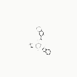 CN1CC[C@@H](NC(=O)c2cc3c(cc2Cl)OCCO3)C[C@@H]1c1nc2ccccc2[nH]1.O=C(O)C(F)(F)F